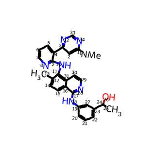 CNc1cc(-c2cccnc2Nc2c(C)ccc3c(Nc4cccc(C(C)O)c4)nccc23)ncn1